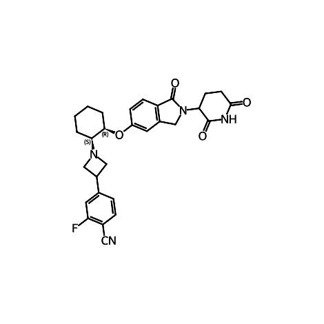 N#Cc1ccc(C2CN([C@H]3CCCC[C@H]3Oc3ccc4c(c3)CN(C3CCC(=O)NC3=O)C4=O)C2)cc1F